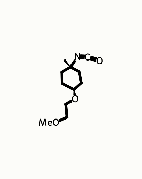 COCCO[C@H]1CC[C@](C)(N=C=O)CC1